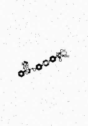 CCC(C)n1c(C)nn(-c2ccc(N3CCN(c4ccc(OC[C@@H]5CO[C@@](Cn6nccn6)(c6ccccc6)O5)cc4)CC3)cc2)c1=O